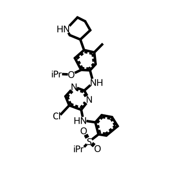 Cc1cc(Nc2ncc(Cl)c(Nc3ccccc3S(=O)(=O)C(C)C)n2)c(OC(C)C)cc1C1CCCNC1